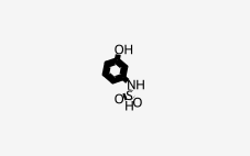 O=[SH](=O)Nc1cccc(O)c1